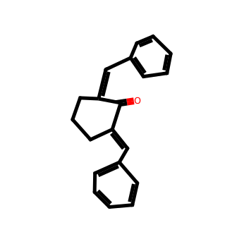 O=C1C(=Cc2ccccc2)CCCC1=Cc1ccccc1